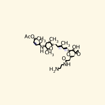 CC(=O)O[C@@H](C)/C=C\C(=O)N[C@@H]1C[C@H](C)[C@H](C/C=C(C)/C=C/[C@H]2O[C@H](CC(=O)NCCN)C[C@@]3(CO3)[C@@H]2O)O[C@@H]1C